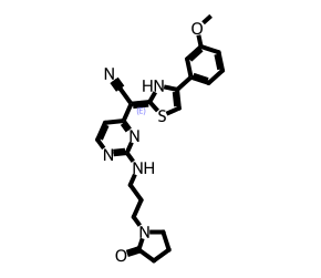 COc1cccc(C2=CS/C(=C(/C#N)c3ccnc(NCCCN4CCCC4=O)n3)N2)c1